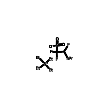 CCCC(F)C(F)(F)S(=O)(=O)[O-].CC[N+](CC)(CC)CC